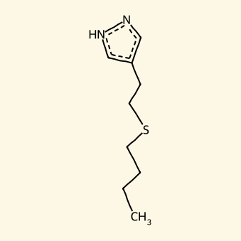 CCCCSCCc1cn[nH]c1